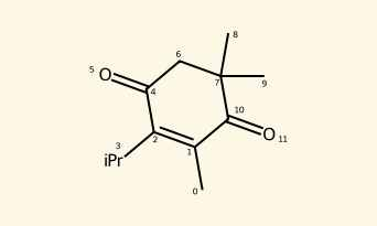 CC1=C(C(C)C)C(=O)CC(C)(C)C1=O